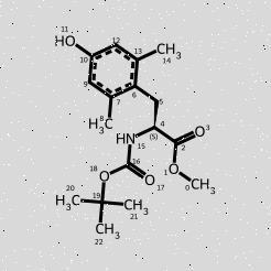 COC(=O)[C@H](Cc1c(C)cc(O)cc1C)NC(=O)OC(C)(C)C